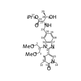 COCC(COC)n1c(-c2cc(C)c(=O)n(C)c2)nc2ccc(CN[C@H](C(=O)OC(C)C)[C@@H](C)O)cc21